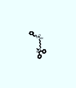 Cc1nc(-c2ccccc2)c(-c2ccccc2)n1CCCCCCNC(=O)O/N=C/c1ccccc1